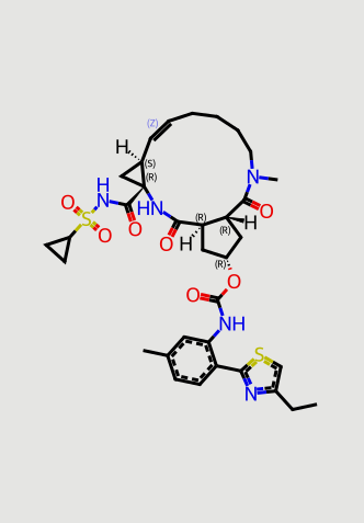 CCc1csc(-c2ccc(C)cc2NC(=O)O[C@@H]2C[C@H]3C(=O)N[C@]4(C(=O)NS(=O)(=O)C5CC5)C[C@H]4/C=C\CCCCN(C)C(=O)[C@@H]3C2)n1